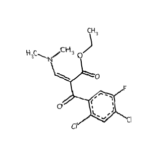 CCOC(=O)/C(=C\N(C)C)C(=O)c1cc(F)c(Cl)cc1Cl